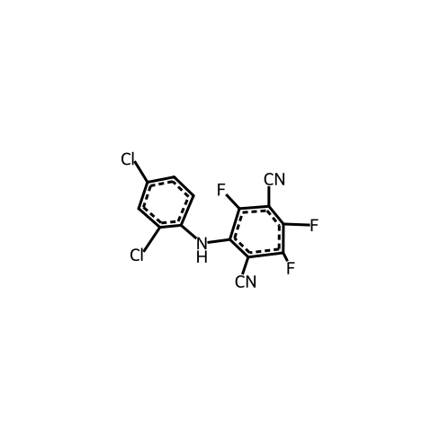 N#Cc1c(F)c(F)c(C#N)c(Nc2ccc(Cl)cc2Cl)c1F